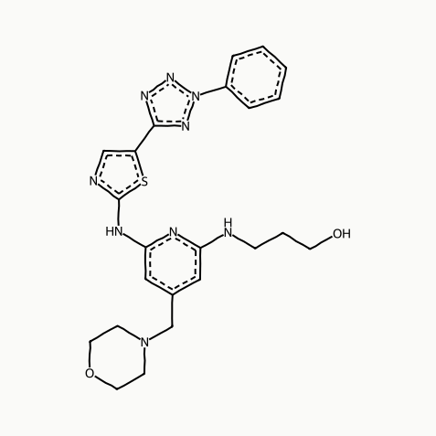 OCCCNc1cc(CN2CCOCC2)cc(Nc2ncc(-c3nnn(-c4ccccc4)n3)s2)n1